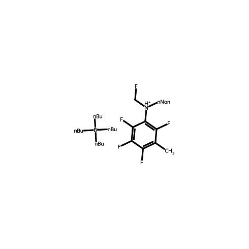 CCCCCCCCC[NH+](CF)c1c(F)c(C)c(F)c(F)c1F.CCCC[B-](CCCC)(CCCC)CCCC